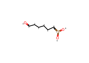 O=[C]CCCCC=S(=O)=O